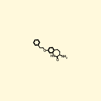 NC1CCc2ccc(OCCc3ccccc3)cc2NC1=O